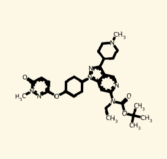 CCN(C(=O)OC(C)(C)C)c1cc2c(cn1)c(C1CCN(C)CC1)nn2C1CCC(Oc2ccc(=O)n(C)n2)CC1